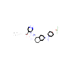 COC(=O)c1ccncc1NC[C@@H]1CCCc2cc(N(C)c3ccc(OC(F)F)cc3)ccc21